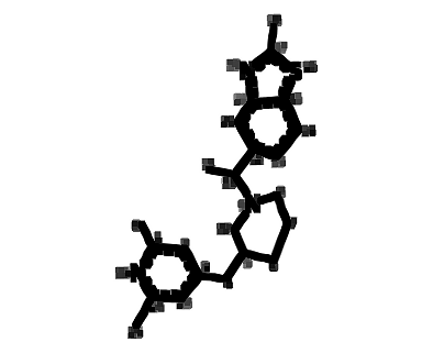 Cc1cc(CC2CCCN(C(C)c3ccc4sc(C)nc4c3)C2)cc(C)n1